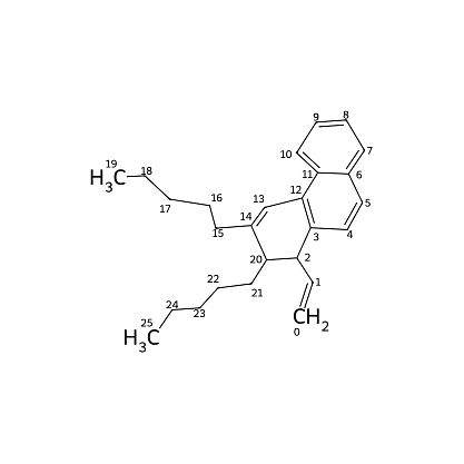 C=CC1c2ccc3ccccc3c2C=C(CCCCC)C1CCCCC